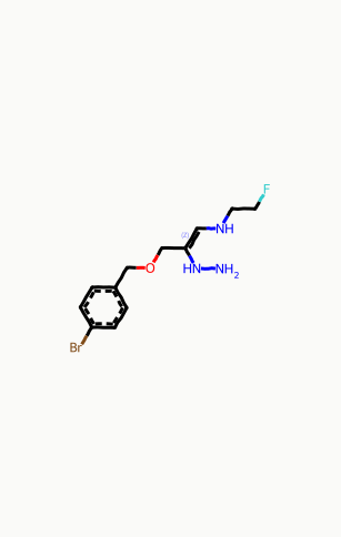 NN/C(=C\NCCF)COCc1ccc(Br)cc1